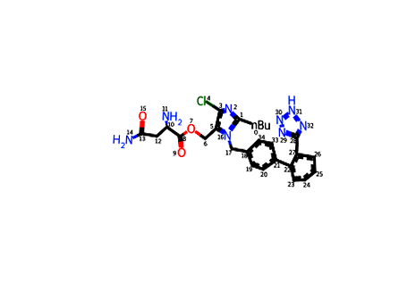 CCCCc1nc(Cl)c(COC(=O)[C@H](N)CC(N)=O)n1Cc1ccc(-c2ccccc2-c2nn[nH]n2)cc1